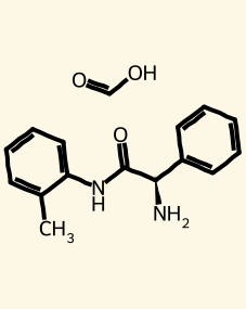 Cc1ccccc1NC(=O)[C@H](N)c1ccccc1.O=CO